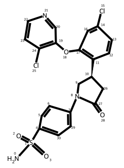 NS(=O)(=O)c1ccc(N2C[C@@H](c3ccc(Cl)cc3Oc3cnccc3Cl)CC2=O)cc1